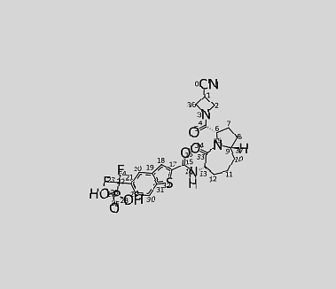 N#CC1CN(C(=O)[C@@H]2CC[C@@H]3CCC[C@H](NC(=O)c4cc5cc(C(F)(F)P(=O)(O)O)ccc5s4)C(=O)N32)C1